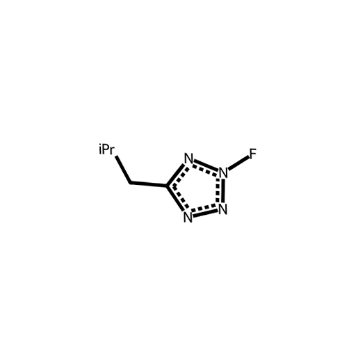 CC(C)Cc1nnn(F)n1